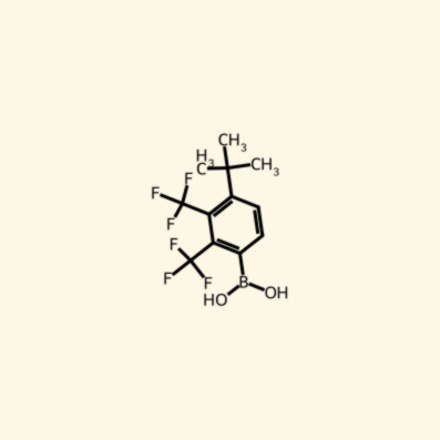 CC(C)(C)c1ccc(B(O)O)c(C(F)(F)F)c1C(F)(F)F